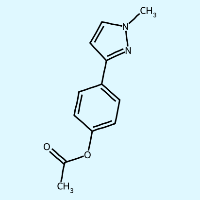 CC(=O)Oc1ccc(-c2ccn(C)n2)cc1